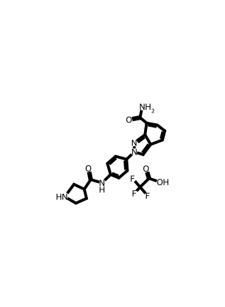 NC(=O)c1cccc2cn(-c3ccc(NC(=O)C4CCNC4)cc3)nc12.O=C(O)C(F)(F)F